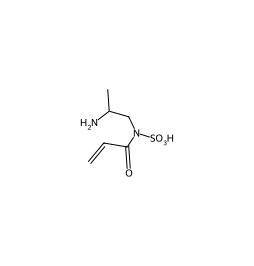 C=CC(=O)N(CC(C)N)S(=O)(=O)O